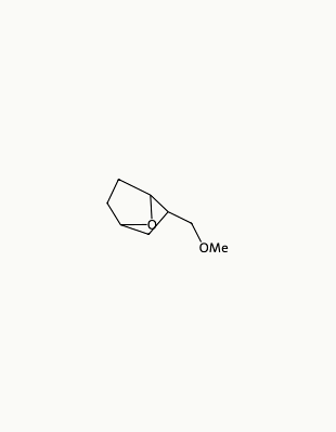 COCC1CC2CCC1O2